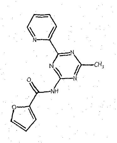 Cc1nc(NC(=O)c2ccco2)nc(-c2ccccn2)n1